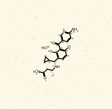 C[C@H](CC(N)=O)N[C@@H](c1ccc(Cl)c(C(=O)c2ccc(N)nc2)c1F)C1CC1.Cl